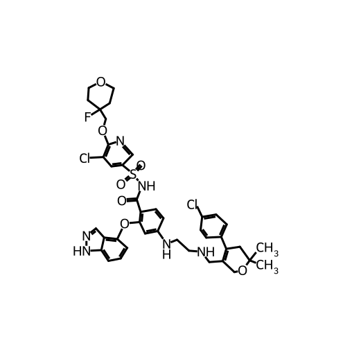 CC1(C)CC(c2ccc(Cl)cc2)=C(CNCCNc2ccc(C(=O)NS(=O)(=O)c3cnc(OCC4(F)CCOCC4)c(Cl)c3)c(Oc3cccc4[nH]ncc34)c2)CO1